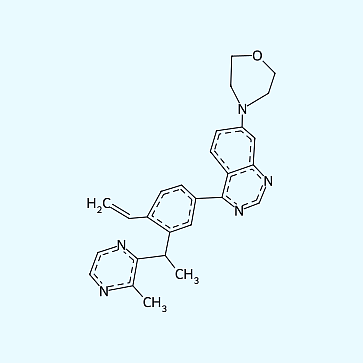 C=Cc1ccc(-c2ncnc3cc(N4CCOCC4)ccc23)cc1C(C)c1nccnc1C